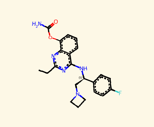 CCc1nc(N[C@H](CN2CCC2)c2ccc(F)cc2)c2cccc(OC(N)=O)c2n1